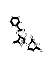 C=C1O[C@@H](n2ccc(=O)[nH]c2=O)[C@@H](C)C1OC(=O)c1ccccc1